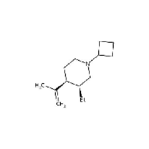 C=C(C)[C@H]1CCN(C2CCC2)C[C@H]1CC